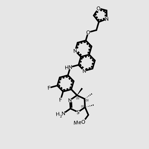 COC[C@@]1(C)SC(N)=N[C@](C)(c2cc(Nc3nccc4cc(OCc5cocn5)cnc34)cc(F)c2F)[C@@H]1C